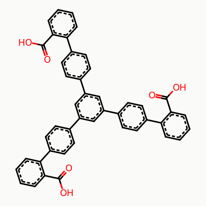 O=C(O)c1ccccc1-c1ccc(-c2cc(-c3ccc(-c4ccccc4C(=O)O)cc3)cc(-c3ccc(-c4ccccc4C(=O)O)cc3)c2)cc1